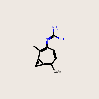 COC1=C2C=C2C(C)=C(N=C(N)N)C=C1